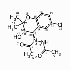 CC(=O)NN(C(C)=O)[C@@H]1c2cc(Cl)ccc2OC(C)(C)[C@H]1O